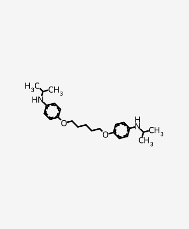 CC(C)Nc1ccc(OCCCCCOc2ccc(NC(C)C)cc2)cc1